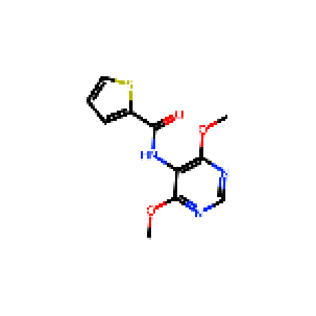 COc1ncnc(OC)c1NC(=O)c1cccs1